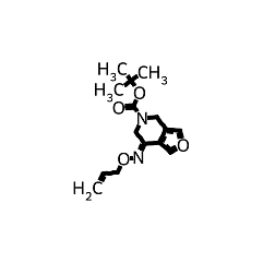 C=CCON=C1CN(C(=O)OC(C)(C)C)Cc2cocc21